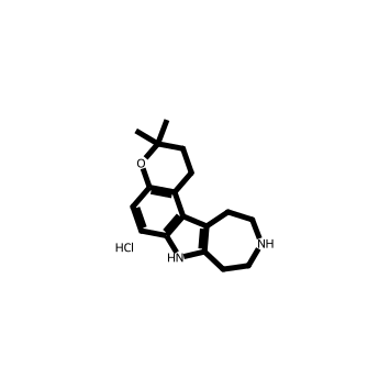 CC1(C)CCc2c(ccc3[nH]c4c(c23)CCNCC4)O1.Cl